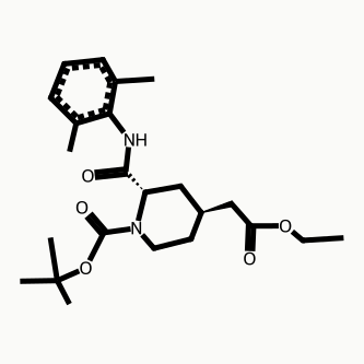 CCOC(=O)C[C@H]1CCN(C(=O)OC(C)(C)C)[C@H](C(=O)Nc2c(C)cccc2C)C1